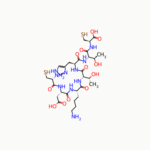 C[C@@H](O)[C@H](NC(=O)[C@H](Cc1c[nH]cn1)NC(=O)[C@@H](NC(=O)[C@H](CCCCN)NC(=O)[C@H](CC(=O)O)NC(=O)[C@@H](N)CS)[C@@H](C)O)C(=O)N[C@@H](CS)C(=O)O